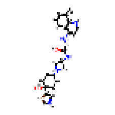 O=C(CNc1ccnc2c(C(F)(F)F)cccc12)NC1CN(C2CCC(O)(c3cncs3)CC2)C1